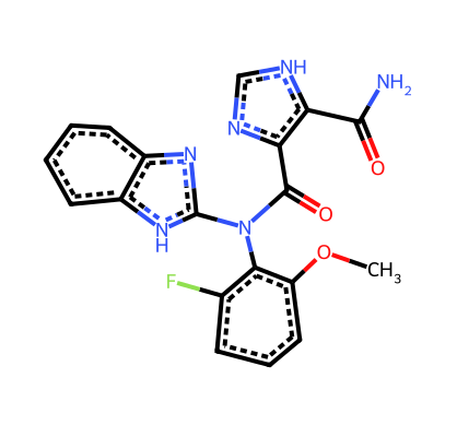 COc1cccc(F)c1N(C(=O)c1nc[nH]c1C(N)=O)c1nc2ccccc2[nH]1